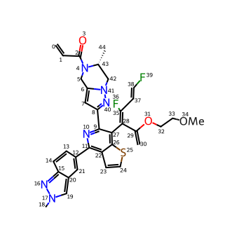 C=CC(=O)N1Cc2cc(-c3nc(-c4ccc5nn(C)cc5c4)c4ccsc4c3/C(C(=C)OCCOC)=C(F)/C=C/F)nn2C[C@H]1C